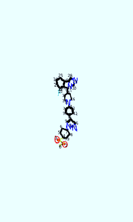 CS(=O)(=O)C1CCC(n2cc(-c3ccc(N4CCC(C5c6c(F)cccc6-c6cncn65)CC4)cc3)cn2)CC1